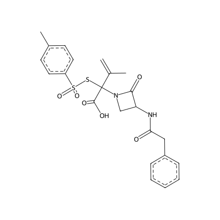 C=C(C)C(SS(=O)(=O)c1ccc(C)cc1)(C(=O)O)N1CC(NC(=O)Cc2ccccc2)C1=O